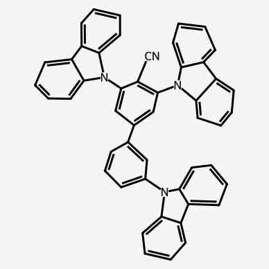 N#Cc1c(-n2c3ccccc3c3ccccc32)cc(-c2cccc(-n3c4ccccc4c4ccccc43)c2)cc1-n1c2ccccc2c2ccccc21